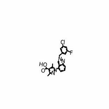 Cc1nn(-c2cccc3nn(Cc4cc(F)cc(Cl)c4)cc23)c(C)c1C(=O)O